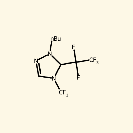 CCCCN1N=CN(C(F)(F)F)C1C(F)(F)C(F)(F)F